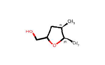 C[C@@H]1CC(CO)O[C@@H]1C